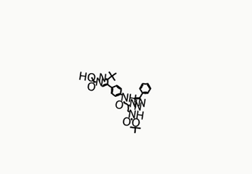 CC(C)(C)OC(=O)NCC(C(=O)Nc1ccc(-c2cn(C(=O)O)nc2C(C)(C)C)cc1)n1cc(-c2ccccc2)nn1